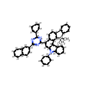 C[Si]1(C)c2ccccc2-c2ccc3c(-c4nc(-c5ccccc5)nc(-c5ccc6ccccc6c5)n4)cc4c(c5ccccc5n4-c4ccccc4)c3c21